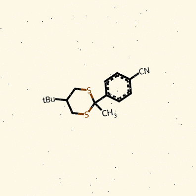 CC1(c2ccc(C#N)cc2)SCC(C(C)(C)C)CS1